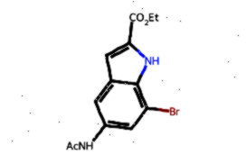 CCOC(=O)c1cc2cc(NC(C)=O)cc(Br)c2[nH]1